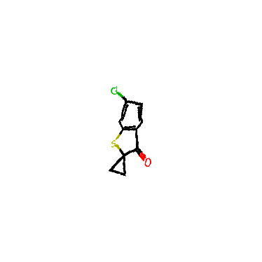 O=C1c2ccc(Cl)cc2SC12CC2